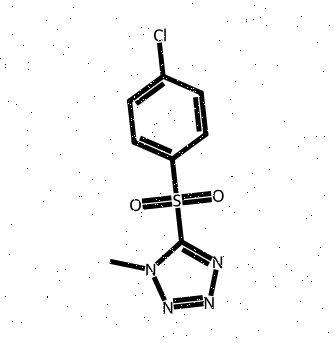 Cn1nnnc1S(=O)(=O)c1ccc(Cl)cc1